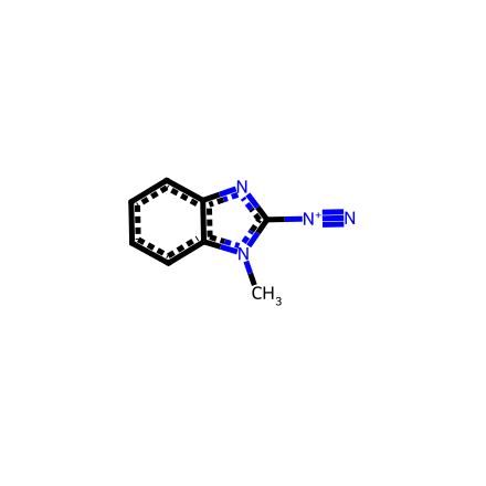 Cn1c([N+]#N)nc2ccccc21